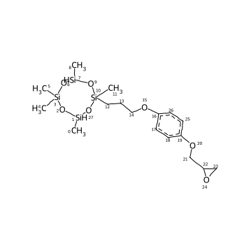 C[SiH]1O[Si](C)(C)O[SiH](C)O[Si](C)(CCCOc2ccc(OCC3CO3)cc2)O1